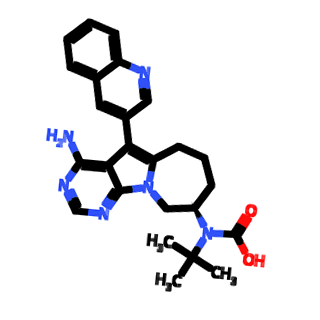 CC(C)(C)N(C(=O)O)[C@@H]1CCCc2c(-c3cnc4ccccc4c3)c3c(N)ncnc3n2C1